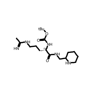 CC(=N)NCCC[C@H](NC(=O)OC(C)(C)C)C(=O)NCC1CCCCN1